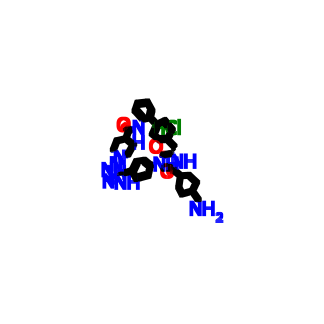 Cl.NCC1CCC(C(=O)N[C@@H](Cc2ccc(-c3ccccc3NC(=O)C3CCNCC3)cc2)C(=O)Nc2ccc(-c3nnn[nH]3)cc2)CC1